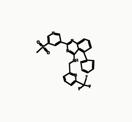 CS(=O)(=O)c1cncc(-c2nc(NCc3cccc(C(F)(F)F)n3)c3c(-c4ccccc4)cccc3n2)c1